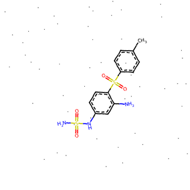 Cc1ccc(S(=O)(=O)c2ccc(NS(N)(=O)=O)cc2N)cc1